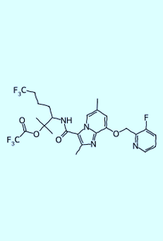 Cc1cc(OCc2ncccc2F)c2nc(C)c(C(=O)NC(CCCC(F)(F)F)C(C)(C)OC(=O)C(F)(F)F)n2c1